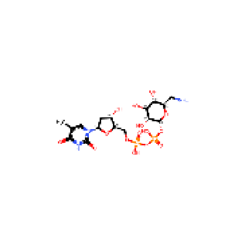 Cc1cn([C@H]2C[C@H](O)[C@@H](COP(=O)(O)OP(=O)(O)O[C@H]3O[C@H](CN)[C@@H](O)[C@H](O)[C@H]3O)O2)c(=O)[nH]c1=O